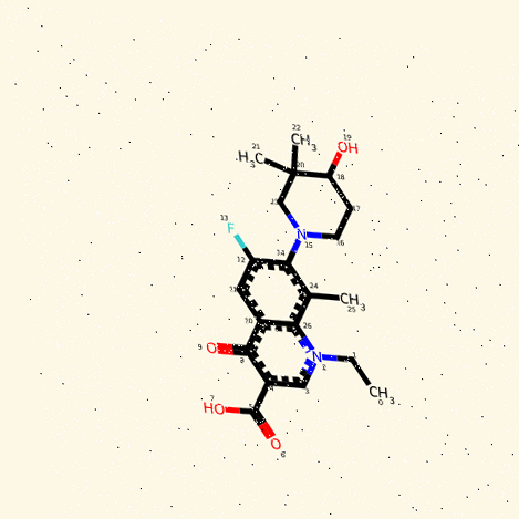 CCn1cc(C(=O)O)c(=O)c2cc(F)c(N3CCC(O)C(C)(C)C3)c(C)c21